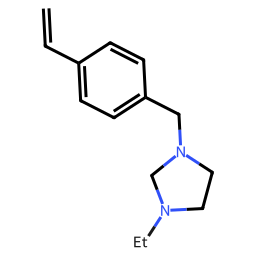 C=Cc1ccc(CN2CCN(CC)C2)cc1